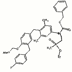 CCOP(C)(=O)CN(C(=O)OCc1ccccc1)c1cc(C)c(Cc2ccc(OCOC)c(Cc3ccc(F)cc3)c2)c(C)c1